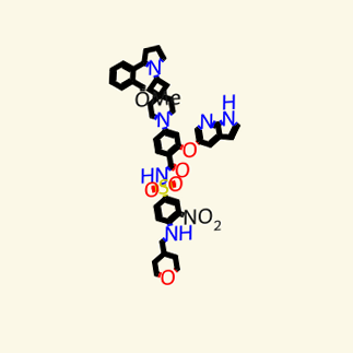 COCc1ccccc1C1CCCN1C1CC2(CCN(c3ccc(C(=O)NS(=O)(=O)c4ccc(NCC5CCOCC5)c([N+](=O)[O-])c4)c(Oc4cnc5[nH]ccc5c4)c3)CC2)C1